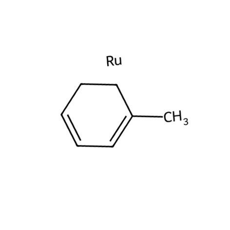 CC1=CC=CCC1.[Ru]